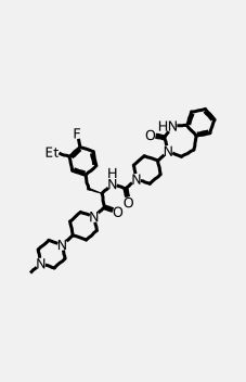 CCc1cc(C[C@@H](NC(=O)N2CCC(N3CCc4ccccc4NC3=O)CC2)C(=O)N2CCC(N3CCN(C)CC3)CC2)ccc1F